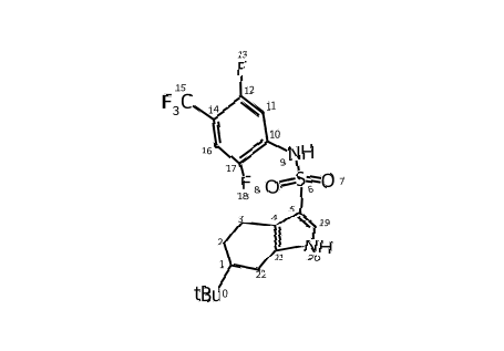 CC(C)(C)C1CCc2c(S(=O)(=O)Nc3cc(F)c(C(F)(F)F)cc3F)c[nH]c2C1